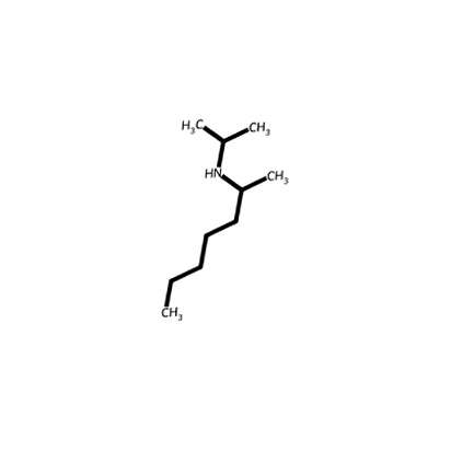 CCCCCC(C)NC(C)C